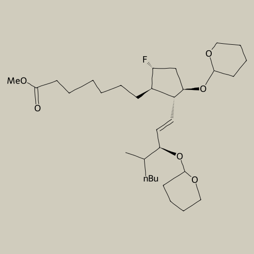 CCCCC(C)[C@@H](/C=C/[C@@H]1[C@@H](CCCCCCC(=O)OC)[C@H](F)C[C@H]1OC1CCCCO1)OC1CCCCO1